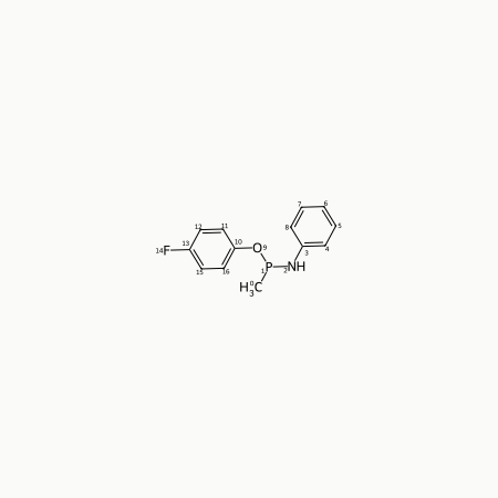 CP(Nc1ccccc1)Oc1ccc(F)cc1